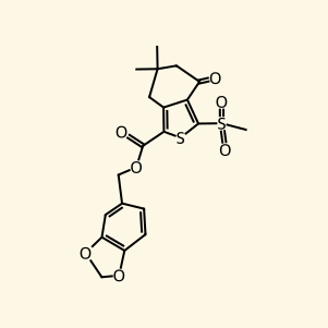 CC1(C)CC(=O)c2c(S(C)(=O)=O)sc(C(=O)OCc3ccc4c(c3)OCO4)c2C1